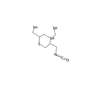 O=C=NCC1CSC(CS)C[SH]1CS